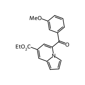 CCOC(=O)c1cc(C(=O)c2cccc(OC)c2)n2cccc2c1